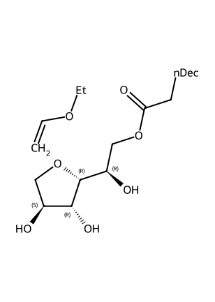 C=COCC.CCCCCCCCCCCC(=O)OC[C@@H](O)[C@H]1OC[C@H](O)[C@H]1O